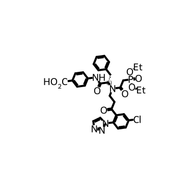 CCOP(=O)(CC(=O)N(CCC(=O)c1cc(Cl)ccc1-n1ccnn1)[C@@H](Cc1ccccc1)C(=O)Nc1ccc(C(=O)O)cc1)OCC